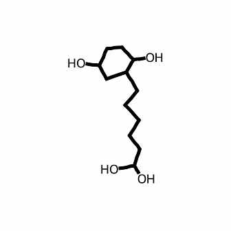 OC(O)CCCCCC1CC(O)CCC1O